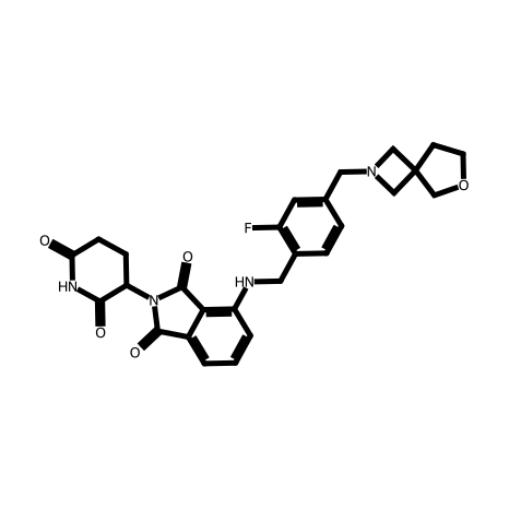 O=C1CCC(N2C(=O)c3cccc(NCc4ccc(CN5CC6(CCOC6)C5)cc4F)c3C2=O)C(=O)N1